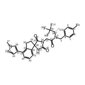 C[C@H](N(Cc1ccc(F)cc1)C(=O)CN1C(=O)NC2(CCc3c(-c4cnn(C)c4)cccc32)C1=O)C(F)(F)F